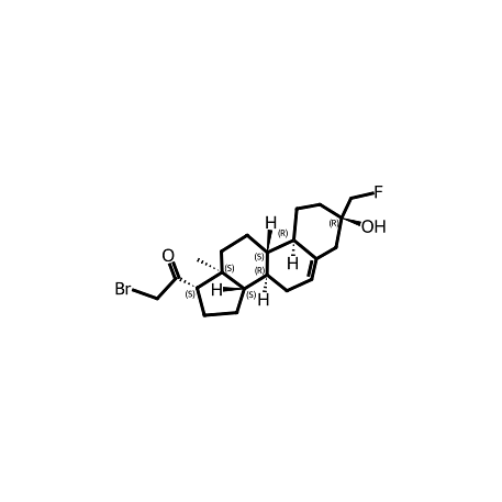 C[C@]12CC[C@H]3[C@@H](CC=C4C[C@@](O)(CF)CC[C@@H]43)[C@@H]1CC[C@@H]2C(=O)CBr